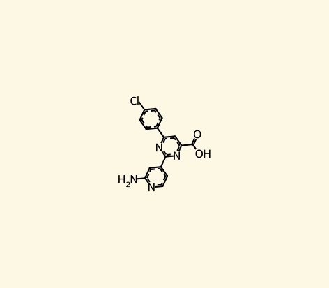 Nc1cc(-c2nc(C(=O)O)cc(-c3ccc(Cl)cc3)n2)ccn1